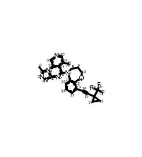 Cc1nnc2nc(N3CCCOc4c(C#CC5(C(F)(F)F)CC5)cccc43)c3c(F)cncc3n12